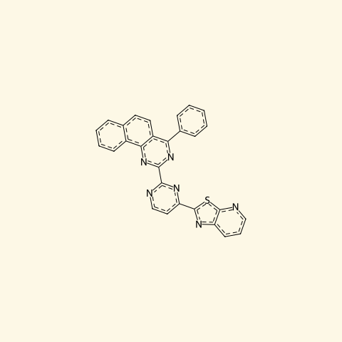 c1ccc(-c2nc(-c3nccc(-c4nc5cccnc5s4)n3)nc3c2ccc2ccccc23)cc1